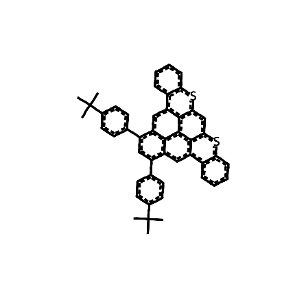 CC(C)(C)c1ccc(-c2cc(-c3ccc(C(C)(C)C)cc3)c3cc4c5ccccc5sc5cc6sc7ccccc7c7cc2c3c(c67)c54)cc1